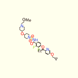 CC[C@@H](Oc1ccc(C(=O)NS(=O)(=O)N2CCC(OC3CCN(CCOC)CC3)CC2)c(F)c1F)c1ccc(OCC2CC2)cn1